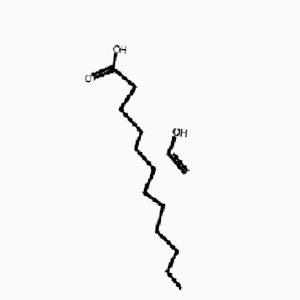 C=CO.CCCCCCCCCCCC(=O)O